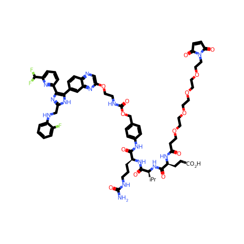 CC(C)[C@H](NC(=O)[C@H](CCC(=O)O)NC(=O)CCOCCOCCOCCOCCN1C(=O)C=CC1=O)C(=O)N[C@@H](CCCNC(N)=O)C(=O)Nc1ccc(COC(=O)NCCOc2cnc3ccc(-c4[nH]c(CNc5ccccc5F)nc4-c4cccc(C(F)F)n4)cc3n2)cc1